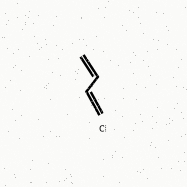 C=CC=C.[C]